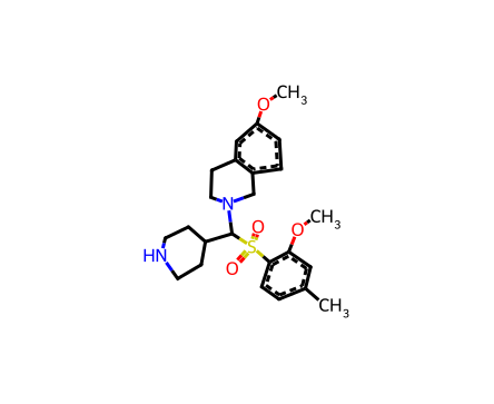 COc1ccc2c(c1)CCN(C(C1CCNCC1)S(=O)(=O)c1ccc(C)cc1OC)C2